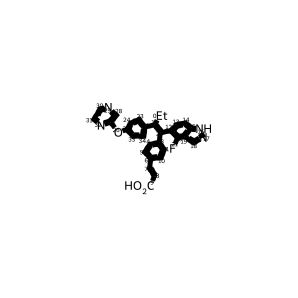 CC/C(=C(/c1ccc(/C=C/C(=O)O)cc1)c1ccc2[nH]ncc2c1F)c1ccc(Oc2cnccn2)cc1